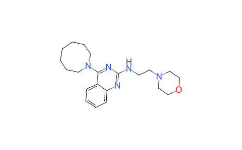 c1ccc2c(N3CCCCCCC3)nc(NCCN3CCOCC3)nc2c1